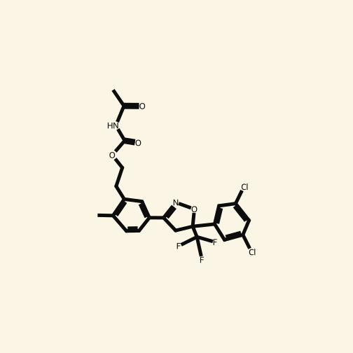 CC(=O)NC(=O)OCCc1cc(C2=NOC(c3cc(Cl)cc(Cl)c3)(C(F)(F)F)C2)ccc1C